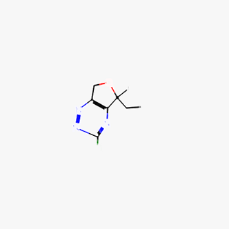 CCC1(C)OCc2nnc(Cl)nc21